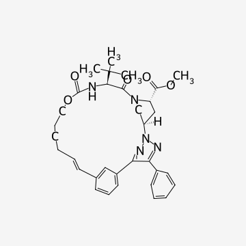 COC(=O)[C@@H]1C[C@@H]2CN1C(=O)[C@H](C(C)(C)C)NC(=O)OCCCC/C=C/c1cccc(c1)-c1nn2nc1-c1ccccc1